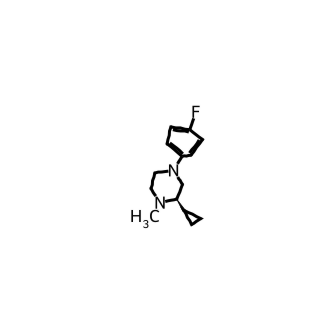 CN1CCN(c2ccc(F)cc2)C[C@H]1C1CC1